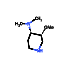 CO[C@@H]1CNCC[C@@H]1N(C)C